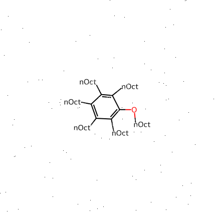 CCCCCCCCOc1c(CCCCCCCC)c(CCCCCCCC)c(CCCCCCCC)c(CCCCCCCC)c1CCCCCCCC